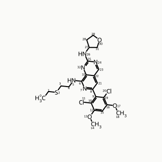 CCSCCNc1nc(-c2c(Cl)c(OC)cc(OC)c2Cl)cc2cnc(NC3CCOC3)nc12